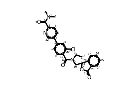 CN(C)C(=O)c1ccc(-c2ccc(C(=O)N3CC[C@@]4(C3)OC(=O)c3ccccc34)c(Cl)c2)cn1